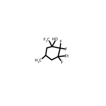 CCC1(F)CC(C)CC(O)(C(F)(F)F)C1(F)F